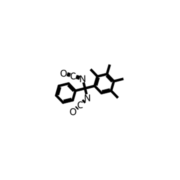 Cc1cc(C(N=C=O)(N=C=O)c2ccccc2)c(C)c(C)c1C